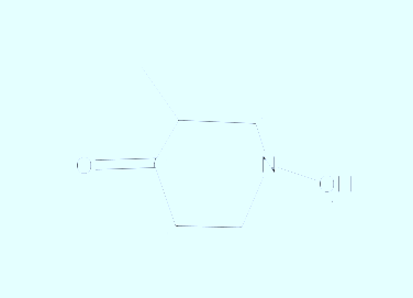 CC1CN(O)CCC1=O